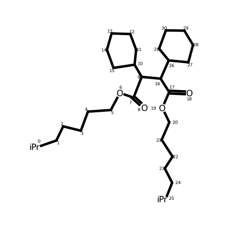 CC(C)CCCCCOC(=O)C(C1CCCCC1)C(C(=O)OCCCCCC(C)C)C1CCCCC1